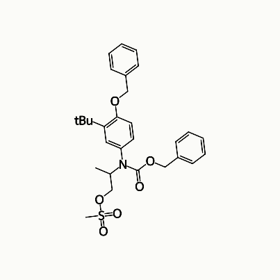 CC(COS(C)(=O)=O)N(C(=O)OCc1ccccc1)c1ccc(OCc2ccccc2)c(C(C)(C)C)c1